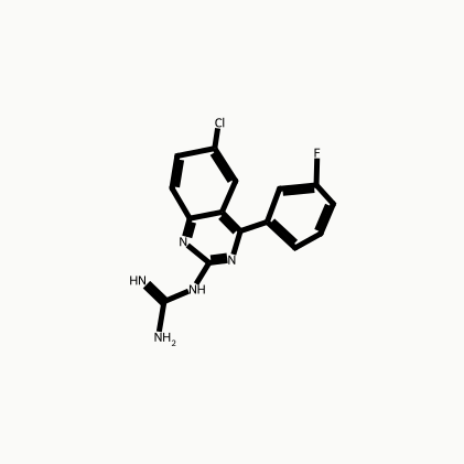 N=C(N)Nc1nc(-c2cccc(F)c2)c2cc(Cl)ccc2n1